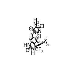 Nc1c(Cl)ncn(Cc2cc3c(cc2Cl)C(C#CC2CC2)(C(F)(F)F)NC(=O)N3)c1=O